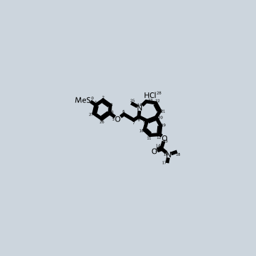 CSc1ccc(OCCC2c3ccc(OC(=O)N(C)C)cc3C=CCN2C)cc1.Cl